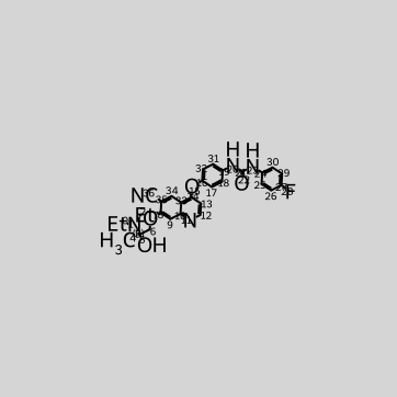 CCN(CC)[C@](C)(O)COc1cc2nccc(Oc3ccc(NC(=O)Nc4ccc(F)cc4)cc3)c2cc1C#N